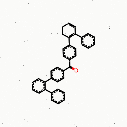 O=C(c1ccc(C2=C(c3ccccc3)C=CCC2)cc1)c1ccc(-c2ccccc2-c2ccccc2)cc1